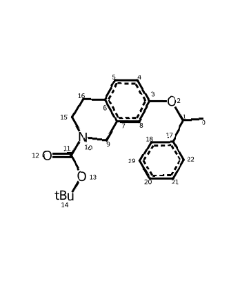 CC(Oc1ccc2c(c1)CN(C(=O)OC(C)(C)C)CC2)c1ccccc1